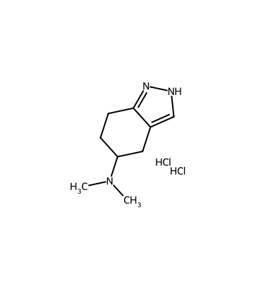 CN(C)C1CCc2n[nH]cc2C1.Cl.Cl